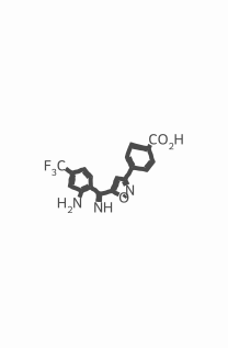 N=C(c1cc(-c2ccc(C(=O)O)cc2)no1)c1ccc(C(F)(F)F)cc1N